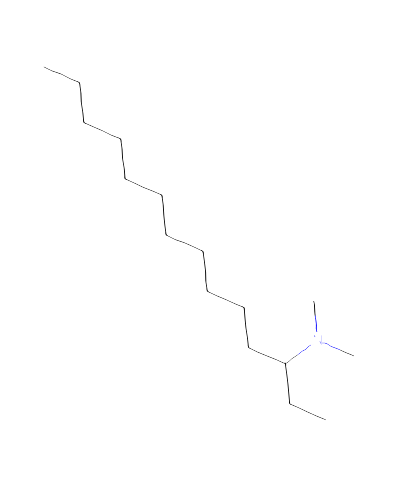 CCCCCCCCCCCC(CC)N(C)C